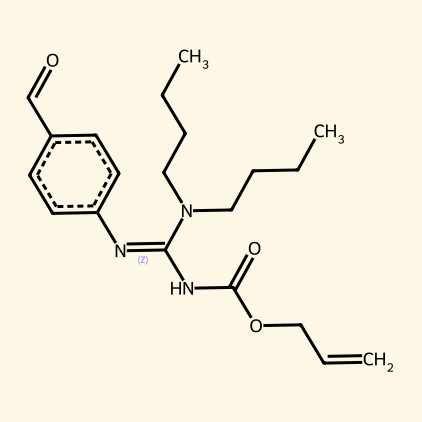 C=CCOC(=O)N/C(=N/c1ccc(C=O)cc1)N(CCCC)CCCC